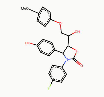 COc1ccc(OCC(O)C2OC(=O)N(c3ccc(F)cc3)C2c2ccc(O)cc2)cc1